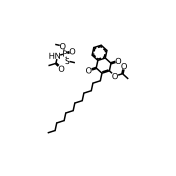 CCCCCCCCCCCCC1=C(OC(C)=O)C(=O)c2ccccc2C1=O.COP(=O)(NC(C)=O)SC